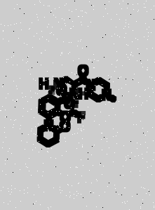 CN1CCN(C(=O)[C@H](CN)NS(=O)(=O)c2cccc(N3CCCCC3=O)c2OC(F)F)CC1